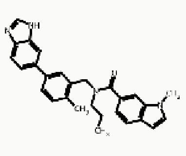 CCCN(Cc1cc(-c2ccc3nc[nH]c3c2)ccc1C)C(=O)c1ccc2ccn(C)c2c1